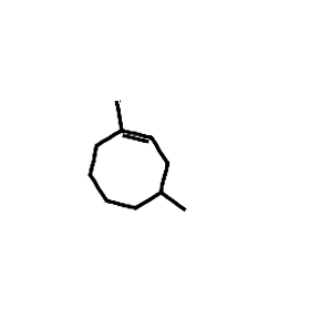 [CH2]/C1=C/CC(C)CCCC1